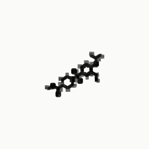 C=Cc1cc(S(=O)(=O)N2CCC(C(=O)OC)CC2)ccc1OC(C)C